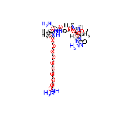 CCOCc1nc2c(N)nc3ccccc3c2n1CC(C)(C)OC(=O)N(C)CCN(C)C(=O)OCc1ccc(NC(=O)[C@H](CCCCN)NC(=O)[C@@H](NC(=O)COCCOCCOCCOCCOCCOCCOCCOCCOCC(=O)NN)C(C)C)cc1